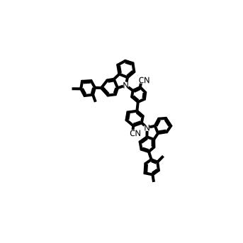 Cc1ccc(-c2ccc3c(c2)c2ccccc2n3-c2cc(-c3ccc(C#N)c(-n4c5ccccc5c5cc(-c6ccc(C)cc6C)ccc54)c3)ccc2C#N)c(C)c1